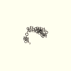 CCC(COCC(C)(C)C(C)(C)CC(C)(C)NC(=O)N(C)CN1C(=O)C=CC1=O)C(=O)NCc1ccc(-c2nnc(C)nn2)cc1